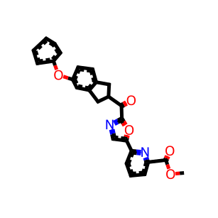 COC(=O)c1cccc(-c2cnc(C(=O)C3Cc4ccc(Oc5ccccc5)cc4C3)o2)n1